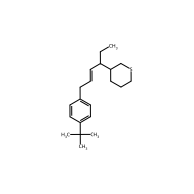 CC[C](C=CCc1ccc(C(C)(C)C)cc1)C1CCCSC1